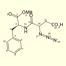 COC(=O)[C@H](Cc1ccccc1)NC(=O)C(CC(=O)O)N=[N+]=[N-]